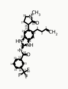 C=CCCc1cc2[nH]/c(=N\C(=O)c3cccc(C(F)(F)F)c3)[nH]c2cc1C1CCN(C)C1=O